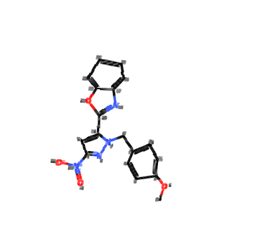 COc1ccc(Cn2nc([N+](=O)[O-])cc2-c2nc3ccccc3o2)cc1